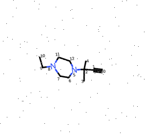 C#CC(C)(C)N1CCN(CC)CC1